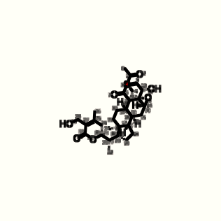 CC(=O)OC[C@]12C(=O)C=C[C@H](O)[C@]13O[C@@H]3C[C@H]1[C@@H]3CC[C@H]([C@H](C)[C@H]4CC(C)=C(CO)C(=O)O4)[C@@]3(C)CC[C@@H]12